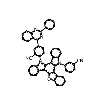 N#Cc1cccc(-n2c3ccccc3c3c4c(c5ccccc5n4-c4ccc(-c5nc(-c6ccccc6)nc6ccccc56)cc4C#N)c4oc5ccccc5c4c32)c1